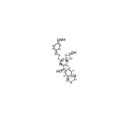 COc1ccc(OCCC(=O)/N=C(\CN2CC[C@@H](O)C2)[C@H](O)c2ccc3c(c2)OCCO3)cc1